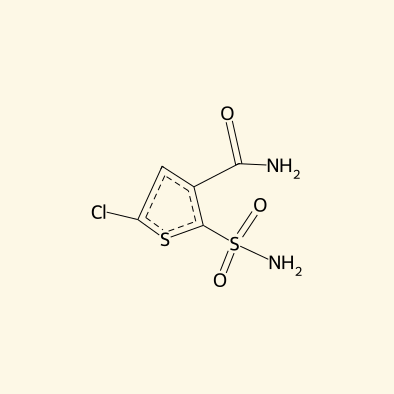 NC(=O)c1cc(Cl)sc1S(N)(=O)=O